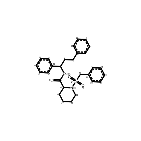 O=C(OC(CCc1ccccc1)c1ccccc1)C1CCCCN1S(=O)(=O)Cc1ccccc1